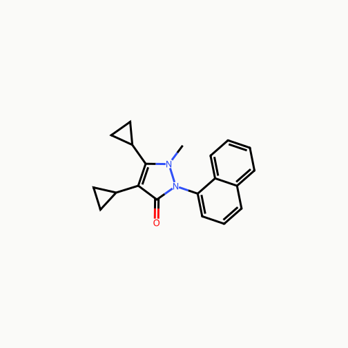 Cn1c(C2CC2)c(C2CC2)c(=O)n1-c1cccc2ccccc12